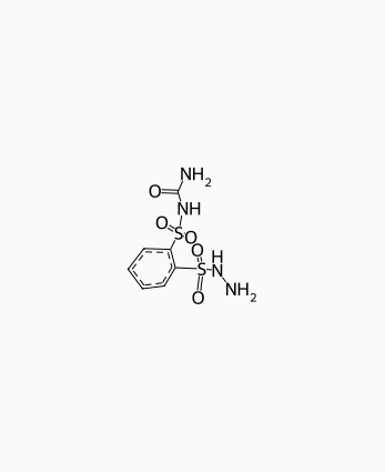 NNS(=O)(=O)c1ccccc1S(=O)(=O)NC(N)=O